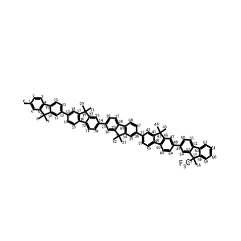 Cc1ccc2c(c1)C(C)(C)c1cc(-c3ccc4c(c3)C(C)(C)c3cc(-c5ccc6c(c5)C(C)(C)c5cc(-c7ccc8c(c7)C(C)(C)c7cc(-c9ccc%10c(c9)C(C)(C(F)(F)F)c9ccccc9-%10)ccc7-8)ccc5-6)ccc3-4)ccc1-2